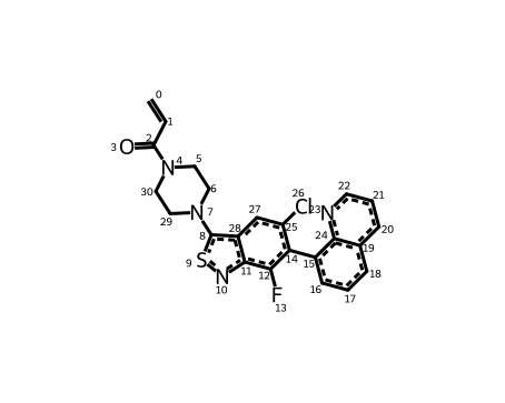 C=CC(=O)N1CCN(c2snc3c(F)c(-c4cccc5cccnc45)c(Cl)cc23)CC1